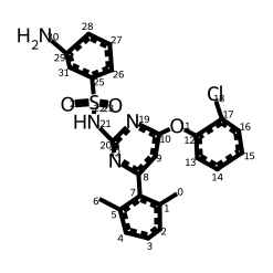 Cc1cccc(C)c1-c1cc(Oc2ccccc2Cl)nc(NS(=O)(=O)c2cccc(N)c2)n1